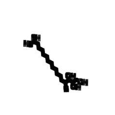 C#CC(CCCCCCCCCCCCC(S)S)C(O)C(O)CO